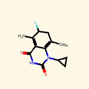 COC1=c2c(c(=O)[nH]c(=O)n2C2CC2)=C(C)C(F)C1